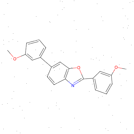 COc1cccc(-c2ccc3nc(-c4cccc(OC)c4)oc3c2)c1